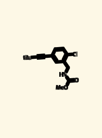 COC(=O)NCc1cc(C#CC(C)(C)C)ccc1Cl